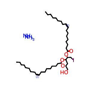 CCCCCCCC/C=C\CCCCCCCC(=O)OC(CI)C(CCCO)OC(=O)CCCCCCC/C=C\CCCCCCCC.N.N